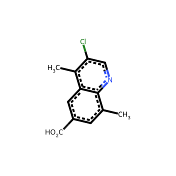 Cc1c(Cl)cnc2c(C)cc(C(=O)O)cc12